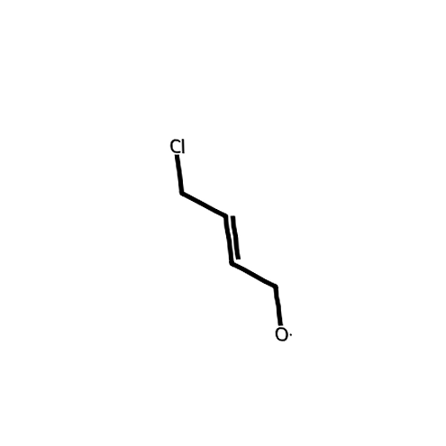 [O]CC=CCCl